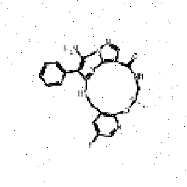 C[C@H]1CNC(=O)c2cnn3c(N)c(-c4ccccc4)c(nc23)NCc2cc(F)cnc2O1